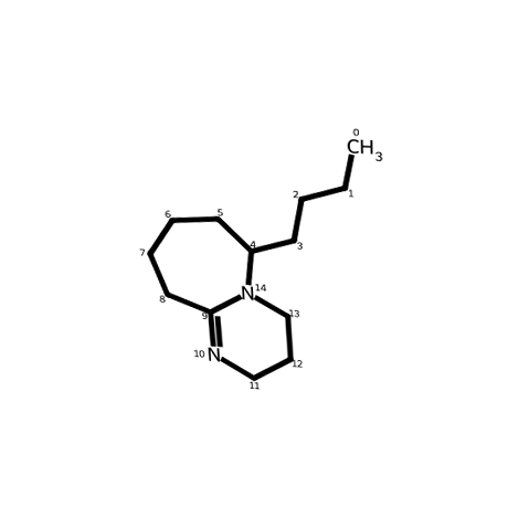 CCCCC1CCCCC2=NCCCN21